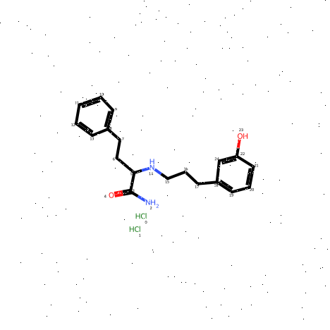 Cl.Cl.NC(=O)C(CCc1ccccc1)NCCCc1cccc(O)c1